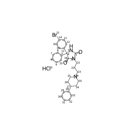 Cl.O=C1NC(c2ccccc2)(c2ccc(Br)cc2)C(=O)N1CCCN1CCC(c2ccccc2)CC1